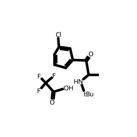 CC(NC(C)(C)C)C(=O)c1cccc(Cl)c1.O=C(O)C(F)(F)F